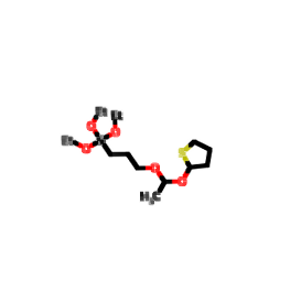 CCO[Si](CCCOC(C)OC1CCCS1)(OCC)OCC